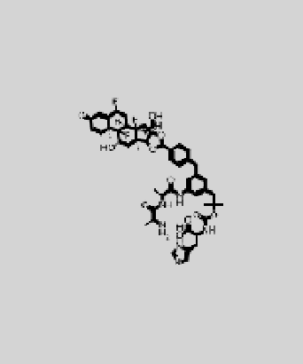 C[C@H](N)C(=O)N[C@@H](C)C(=O)Nc1cc(Cc2ccc(C3O[C@@H]4C[C@H]5[C@@H]6C[C@H](F)C7=CC(=O)C=C[C@]7(C)[C@@]6(F)[C@@H](O)C[C@]5(C)[C@]4(C(=O)CO)O3)cc2)cc(CC(C)(C)OC(=O)N[C@@H](Cc2cnc[nH]2)C(=O)O)c1